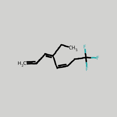 C=C/C=C(\C=C/CC(F)(F)F)CC